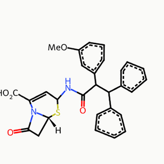 COc1cccc(C(C(=O)NC2C=C(C(=O)O)N3C(=O)C[C@H]3S2)C(c2ccccc2)c2ccccc2)c1